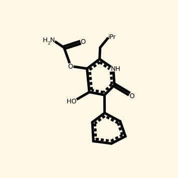 CC(C)Cc1[nH]c(=O)c(-c2ccccc2)c(O)c1OC(N)=O